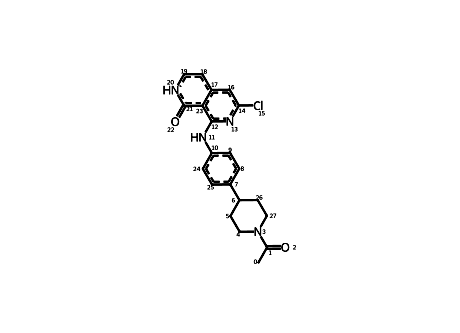 CC(=O)N1CCC(c2ccc(Nc3nc(Cl)cc4cc[nH]c(=O)c34)cc2)CC1